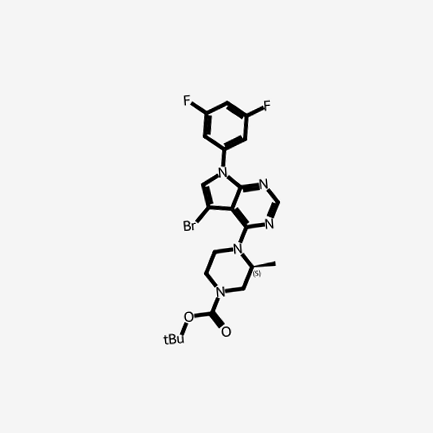 C[C@H]1CN(C(=O)OC(C)(C)C)CCN1c1ncnc2c1c(Br)cn2-c1cc(F)cc(F)c1